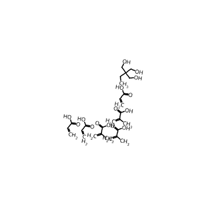 C=C(C)C(=O)O.C=C(C)C(=O)O.C=C(C)C(=O)O.C=CC(=O)O.C=CC(=O)O.C=CC(=O)O.CCC(CO)(CO)CO